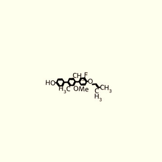 COc1c(C)c(-c2ccc(O)cc2)cc(C)c1-c1ccc(OCC=C(C)C)c(F)c1